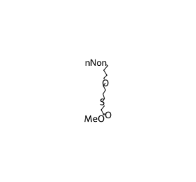 CCCCCCCCCCCCCOCCCCSCCC(=O)OC